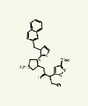 COc1cc(C(CC(C)C)C(=O)CC2C[C@H](O)C[C@H]2C2=NC=CC2Cc2ccc3ccccc3c2)on1